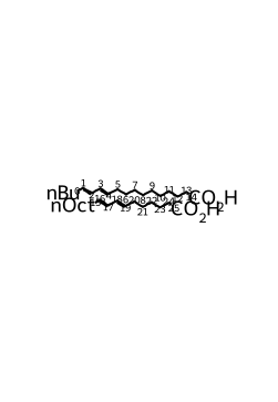 CCCCC=CC=CCCCCCCCCCC(=O)O.CCCCCCCCC=CC=CCCCCCC(=O)O